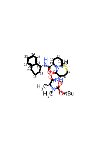 C[C@@H](C(=O)N[C@H]1CCS[C@H]2CCC[C@H](C(=O)N[C@@H]3CCCc4ccccc43)N2C1=O)N(C)C(=O)OC(C)(C)C